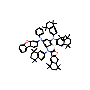 CC1(C)CCC(C)(C)/C(=C/C2=C(C3(C)C=C3)N(c3ccc4c(c3)C(C)(C)CCC4(C)C)c3cc(N(C4=CC5Oc6ccccc6C5C=C4)c4ccccc4)cc4c3B2c2oc3c(c2N4c2ccc4c(c2)C(C)(C)CCC4(C)C)C=C2C(C3)C(C)(C)CCC2(C)C)C1